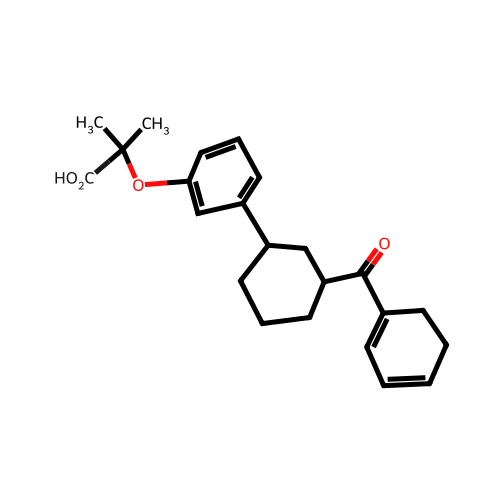 CC(C)(Oc1cccc(C2CCCC(C(=O)C3=CC=CCC3)C2)c1)C(=O)O